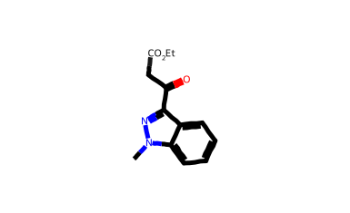 CCOC(=O)CC(=O)c1nn(C)c2ccccc12